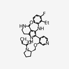 C=CC(=O)N1CCC[C@@H]1COc1cnccc1-c1[nH]c2c(c1Nc1cccc(F)c1CC)C(=O)NCC2